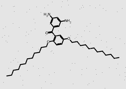 CCCCCCCCCCCCOc1ccc(OCCCCCCCCCCCC)c(C(=O)c2cc(N)cc(N)c2)c1